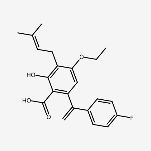 C=C(c1ccc(F)cc1)c1cc(OCC)c(CC=C(C)C)c(O)c1C(=O)O